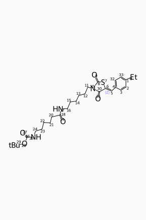 CCc1ccc(/C=C2\SC(=O)N(CCCCCCNC(=O)CCCCCNC(=O)OC(C)(C)C)C2=O)cc1